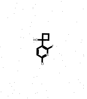 OC1(c2ccc(Cl)nc2F)CCC1